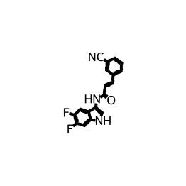 N#Cc1cccc(/C=C/C(=O)Nc2c[nH]c3cc(F)c(F)cc23)c1